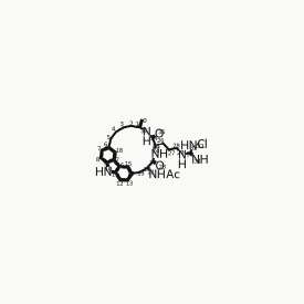 C=C1CCCCc2ccc3[nH]c4ccc(cc4c3c2)CC(NC(C)=O)C(=O)N[C@H](CCCNC(=N)NCl)C(=O)N1